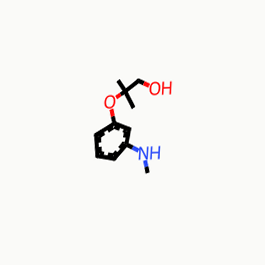 CNc1cccc(OC(C)(C)CO)c1